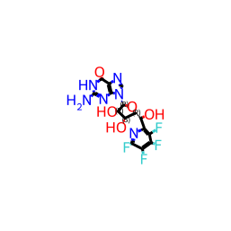 Nc1nc2c(ncn2[C@@H]2O[C@H](C(O)c3nc(F)c(F)c(F)c3F)[C@@H](O)[C@H]2O)c(=O)[nH]1